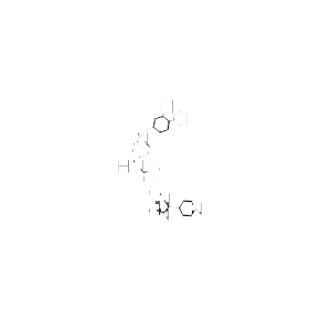 O=C(CCCc1nc(-c2ccncc2)no1)NC1CCN(Cc2ccc(Cl)c(Cl)c2)CC1